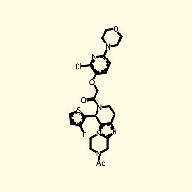 CC(=O)N1CCn2c(nc3c2C(c2sccc2F)N(C(=O)COc2ccc(N4CCOCC4)nc2Cl)CC3)C1